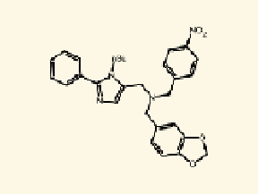 CCCCn1c(CN(Cc2ccc([N+](=O)[O-])cc2)Cc2ccc3c(c2)OCO3)cnc1-c1ccccc1